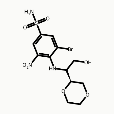 NS(=O)(=O)c1cc(Br)c(NC(CO)[C@H]2COCCO2)c([N+](=O)[O-])c1